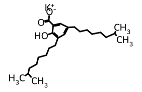 CC(C)CCCCCCc1cc(CCCCCCC(C)C)c(O)c(C(=O)[O-])c1.[K+]